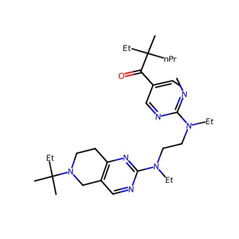 C\C=C(/C=N\C(=N/C)N(CC)CCN(CC)c1ncc2c(n1)CCN(C(C)(C)CC)C2)C(=O)C(C)(CC)CCC